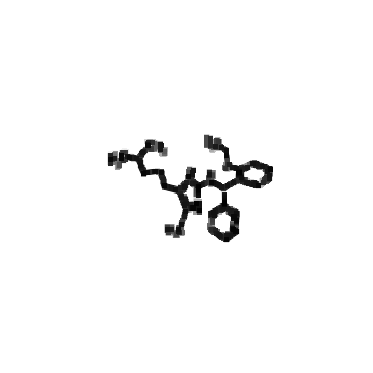 CCOc1ccccc1C(Bc1nc(C)c(CCCC(C)C)[nH]1)c1ccccc1